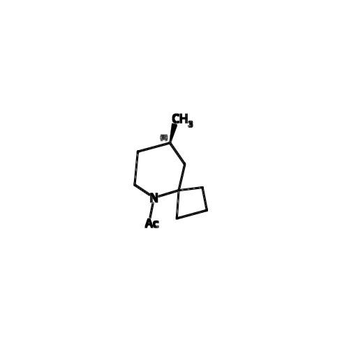 CC(=O)N1CC[C@@H](C)CC12CCC2